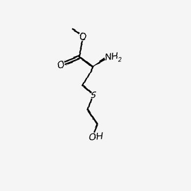 COC(=O)[C@@H](N)CSCCO